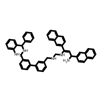 Nc1ccccc1C(NCc1cccc(-c2cccc(CNCN/C(=C\C(N)c3ccc4ccccc4c3)c3ccc4ccccc4c3)c2)c1)c1ccccc1